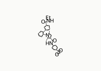 CCNC(=O)c1cccc(-c2ccccc2-n2c(C)cc(C(=O)Nc3ccc(S(C)(=O)=O)cc3)c2C)c1